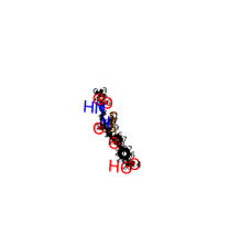 CC(C)(C)OC(=O)NCCN1C(=O)/C(=C/c2ccc(-c3ccc(C(=O)O)cc3)o2)SC1=S